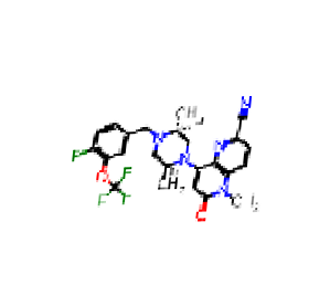 C[C@@H]1CN(c2cc(=O)n(C)c3ccc(C#N)nc23)[C@@H](C)CN1Cc1ccc(F)c(OC(F)(F)F)c1